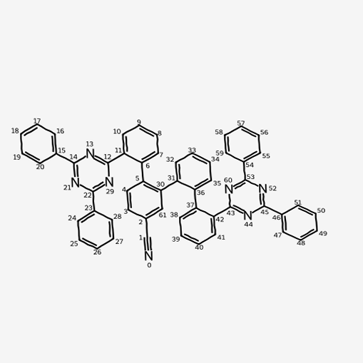 N#Cc1ccc(-c2ccccc2-c2nc(-c3ccccc3)nc(-c3ccccc3)n2)c(-c2ccccc2-c2ccccc2-c2nc(-c3ccccc3)nc(-c3ccccc3)n2)c1